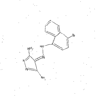 NC1=NN=C(N)C1=NNc1ccc(Br)c2ccccc12